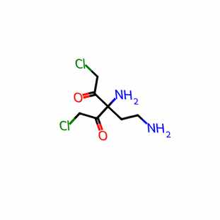 NCCC(N)(C(=O)CCl)C(=O)CCl